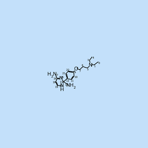 CCN(CC)CCCOc1ccc(C2(N)N=C(N)C=CN2)cc1